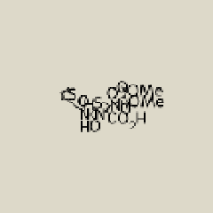 COC(=O)C(C(=O)NC1=C(C(=O)O)N2C(=O)C(NC(=O)Cc3cccs3)[C@@H]2SC1)C(=O)OC